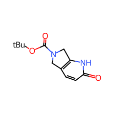 CC(C)(C)OC(=O)N1Cc2ccc(=O)[nH]c2C1